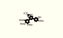 COc1ccc(-c2cc(-c3cc(OC)c(OC)c(OC)c3)c3nc(C)[nH]c3c2)cc1O